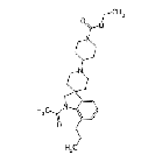 CCCc1cccc2c1N(C(C)=O)CC21CCN(C2CCN(C(=O)OCC)CC2)CC1